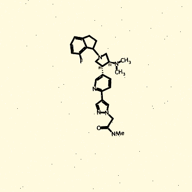 CNC(=O)Cn1cc(-c2ccc([C@@H]3CN(C4CCc5cccc(F)c54)C[C@H]3N(C)C)cn2)cn1